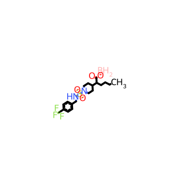 BOC(=O)C(CCCC)C1CCN(S(=O)(=O)NCc2ccc(C(F)(F)F)cc2)CC1